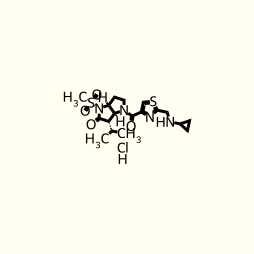 CC(C)[C@@H]1C(=O)N(S(C)(=O)=O)[C@@H]2CCN(C(=O)c3csc(CNC4CC4)n3)[C@H]21.Cl